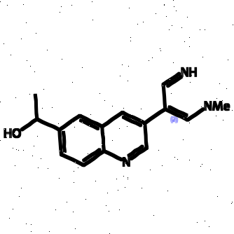 CN/C=C(\C=N)c1cnc2ccc(C(C)O)cc2c1